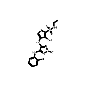 CCNS(=O)(=O)c1scc(Nc2n[s+]([O-])nc2Nc2ccccc2Br)c1O